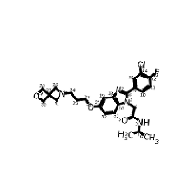 CC(C)NC(=O)Cn1c(-c2ccc(F)c(Cl)c2)nc2cc(OCCCN3CC4(COC4)C3)ccc21